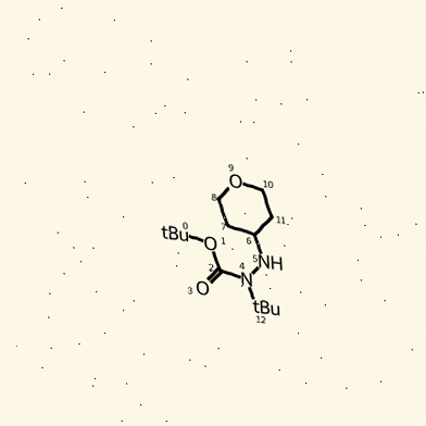 CC(C)(C)OC(=O)N(NC1CCOCC1)C(C)(C)C